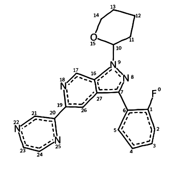 Fc1ccccc1-c1nn(C2CCCCO2)c2cnc(-c3cnccn3)cc12